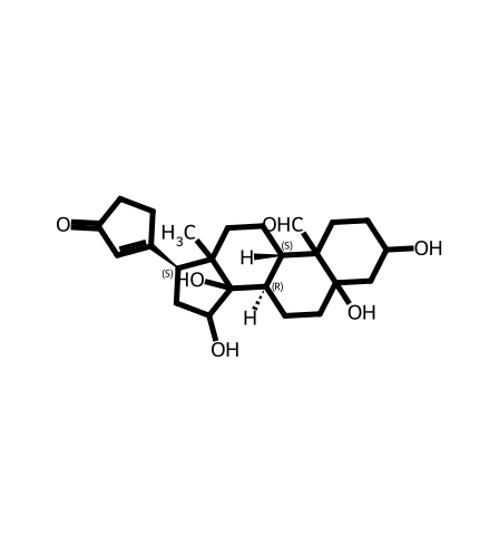 CC12CC[C@H]3[C@@H](CCC4(O)CC(O)CCC34C=O)C1(O)C(O)C[C@H]2C1=CC(=O)CC1